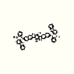 CC(C)c1c2oc3cc4cc(N(c5ccccc5C(C)(C)C)c5cccc6c5oc5ccccc56)ccc4cc3c2c(C(C)C)c2oc3cc4cc(N(c5ccccc5C(C)(C)C)c5cccc6c5oc5ccccc56)ccc4cc3c12